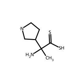 CC(N)(C(=S)S)C1CC[N]C1